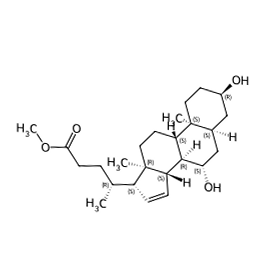 COC(=O)CC[C@@H](C)[C@H]1C=C[C@H]2[C@@H]3[C@@H](O)C[C@@H]4C[C@H](O)CC[C@]4(C)[C@H]3CC[C@]12C